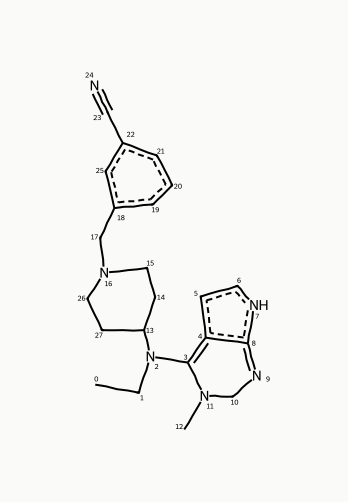 CCN(C1=c2cc[nH]c2=NCN1C)C1CCN(Cc2cccc(C#N)c2)CC1